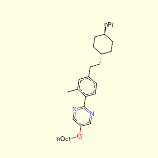 CCCCCCCCOc1cnc(-c2ccc(CC[C@H]3CC[C@H](CCC)CC3)cc2C)nc1